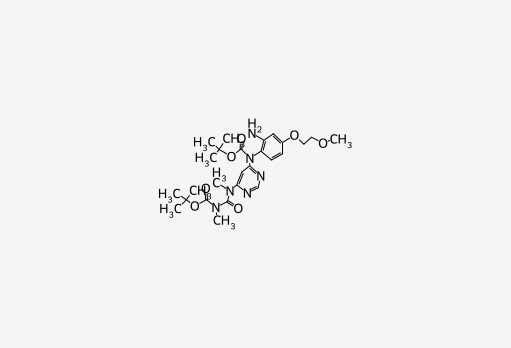 COCCOc1ccc(N(C(=O)OC(C)(C)C)c2cc(N(C)C(=O)N(C)C(=O)OC(C)(C)C)ncn2)c(N)c1